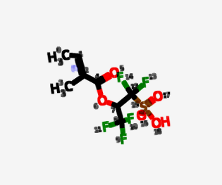 C/C=C(\C)C(=O)OC(C(F)(F)F)C(F)(F)S(=O)(=O)O